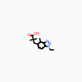 CCn1nnc2c(C)c(CC(C)(C)C(=O)O)ccc21